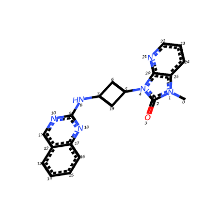 Cn1c(=O)n(C2CC(Nc3ncc4ccccc4n3)C2)c2ncccc21